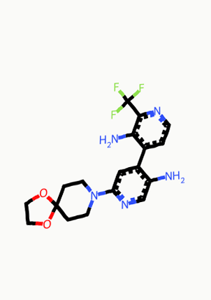 Nc1cnc(N2CCC3(CC2)OCCO3)cc1-c1ccnc(C(F)(F)F)c1N